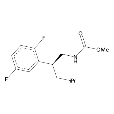 COC(=O)NC[C@@H](CC(C)C)c1cc(F)ccc1F